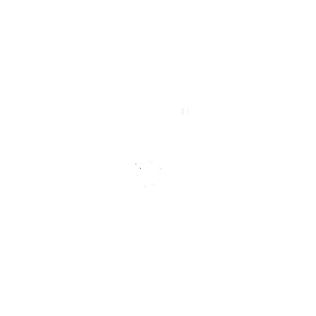 CCCCCc1ccc2c(n1)CCCC2